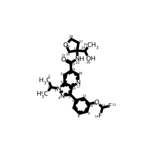 CC(C)n1nc(-c2cccc(OC(F)F)c2)c2ncc(C(=O)NC3(C(C)O)CCOC3)cc21